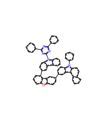 c1ccc(-c2nc(-c3ccccc3)nc(-n3c4ccccc4c4cc(-c5cccc6oc7ccc(-c8ccc9c(c8)c8c%10ccccc%10ccc8n9-c8ccccc8)cc7c56)ccc43)n2)cc1